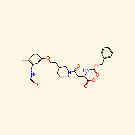 Cc1ccc(OCCC2CCCN(C(=O)CC(NC(=O)OCc3ccccc3)C(=O)O)C2)cc1CNC=O